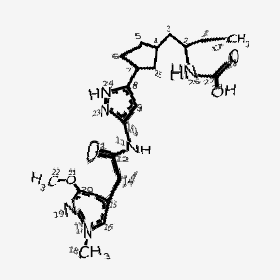 CCC(CC1CCC(c2cc(NC(=O)Cc3cn(C)nc3OC)n[nH]2)C1)NC(=O)O